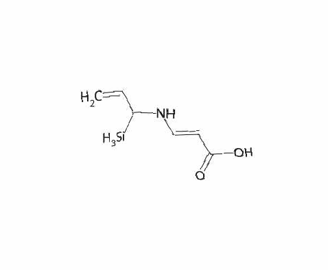 C=CC([SiH3])NC=CC(=O)O